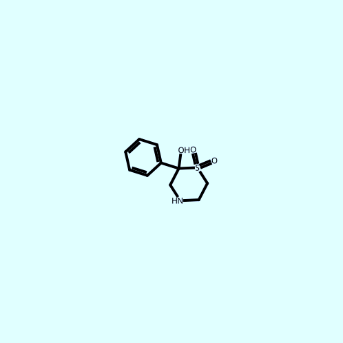 O=S1(=O)CCNCC1(O)c1ccccc1